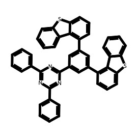 c1ccc(-c2nc(-c3ccccc3)nc(-c3cc(-c4cccc5sc6ccccc6c45)cc(-c4cccc5sc6ccccc6c45)c3)n2)cc1